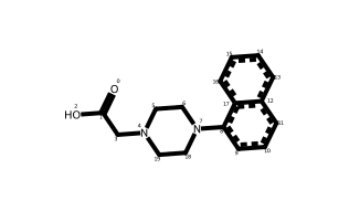 O=C(O)CN1CCN(c2cccc3ccccc23)CC1